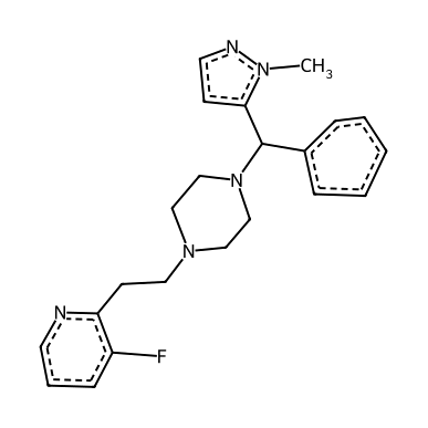 Cn1nccc1C(c1ccccc1)N1CCN(CCc2ncccc2F)CC1